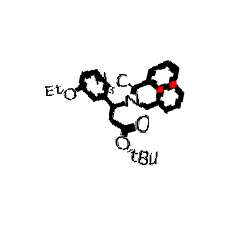 CCOc1cccc(C(CC(=O)OC(C)(C)C)N(Cc2ccccc2)[C@H](C)c2ccccc2)c1